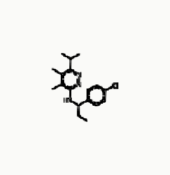 CC[C@@H](Nc1nnc(C(C)C)c(C)c1C)c1ccc(Cl)cc1